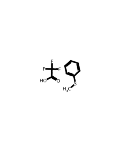 CSc1ccccc1.O=C(O)C(F)(F)F